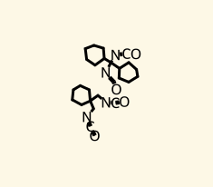 O=C=NC(N=C=O)(C1CCCCC1)C1CCCCC1.O=C=NCC1(CN=C=O)CCCCC1